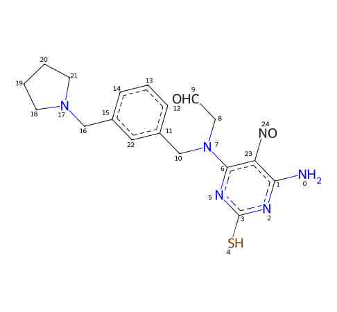 Nc1nc(S)nc(N(CC=O)Cc2cccc(CN3CCCC3)c2)c1N=O